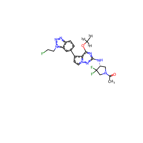 [2H]C([2H])([2H])Oc1nc(N[C@@H]2CN(C(C)=O)CC2(F)F)nn2ccc(-c3ccc4nnn(CCF)c4c3)c12